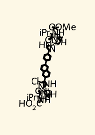 COC(=O)N[C@H](C(=O)N1[C@@H]2C[C@H]2C[C@H]1c1nc(-c2ccc(-c3ccc4cc(-c5[nH]c([C@@H]6C[C@H]7C[C@H]7N6C(=O)[C@@H](NC(=O)O)C(C)C)nc5Cl)ccc4c3)cc2)c[nH]1)C(C)C